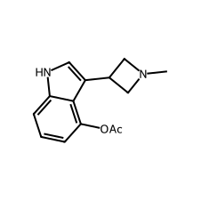 CC(=O)Oc1cccc2[nH]cc(C3CN(C)C3)c12